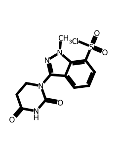 Cn1nc(N2CCC(=O)NC2=O)c2cccc(S(=O)(=O)Cl)c21